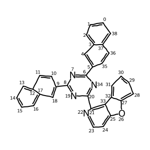 c1ccc2cc(-c3nc(-c4ccc5ccccc5c4)nc(-c4nccc5oc6ccccc6c45)n3)ccc2c1